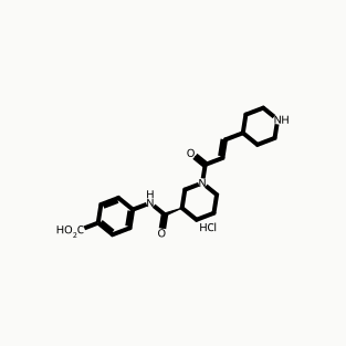 Cl.O=C(O)c1ccc(NC(=O)[C@@H]2CCCN(C(=O)/C=C/C3CCNCC3)C2)cc1